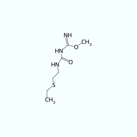 CCSCCNC(=O)NC(=N)OC